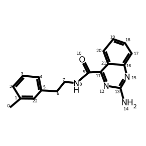 Cc1cccc(CCNC(=O)c2nc(N)nc3ccccc23)c1